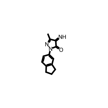 CC1=NN(c2ccc3c(c2)CCC3)C(=O)C1=N